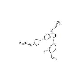 C=C/C=C(\C=C/CC1C=C(F)C(C)CC1)c1ccc(C2CCC(C=C)CC2)cn1